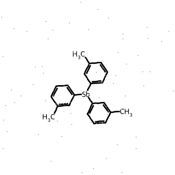 Cc1ccc[c]([Sb]([c]2cccc(C)c2)[c]2cccc(C)c2)c1